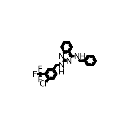 FC(F)(F)c1cc(CNc2nc(NCc3ccccc3)c3ccccc3n2)ccc1Cl